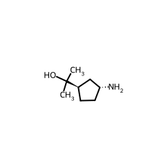 CC(C)(O)[C@@H]1CC[C@@H](N)C1